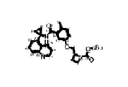 Cc1ccc(OCC2CCN2C(=O)OC(C)(C)C)cc1C(=O)NC1(c2cccc3ncccc23)CC1